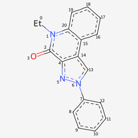 CCn1c(=O)c2nn(-c3ccccc3)cc2c2ccccc21